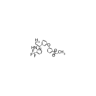 CCS(=O)(=O)c1cccc(Oc2cccc(C3=C(C)NC4C(C(F)(F)F)=CC=CN34)c2)c1